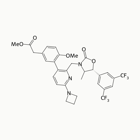 COC(=O)Cc1ccc(OC)c(-c2ccc(N3CCC3)nc2CN2C(=O)O[C@H](c3cc(C(F)(F)F)cc(C(F)(F)F)c3)C2C)c1